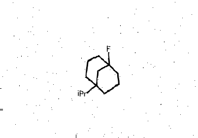 CC(C)C12CCCC(F)(CCC1)C2